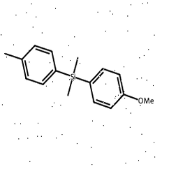 COc1ccc([Si](C)(C)c2ccc(C)cc2)cc1